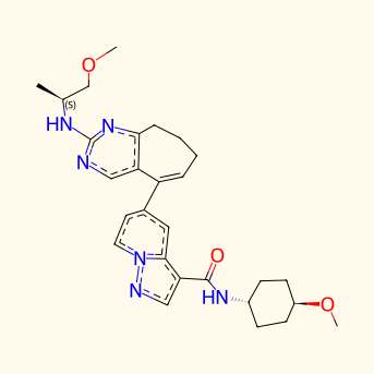 COC[C@H](C)Nc1ncc2c(n1)CCCC=C2c1ccn2ncc(C(=O)N[C@H]3CC[C@H](OC)CC3)c2c1